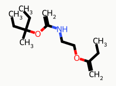 C=C(CC)OCCNC(=C)OC(C)(CC)CC